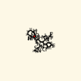 O=C(N[C@H]1CC2=C(c3ccn(C(F)F)n3)[C@H](c3ccc(F)cc3Cl)N=C(c3nccs3)N2C1)N1[C@@H]2CCC[C@H]1C[C@H](O)C2